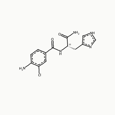 NC(=O)[C@H](Cc1c[nH]cn1)NC(=O)c1ccc(N)c(Cl)c1